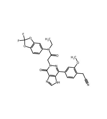 CCN(C(=O)Cn1nc(-c2ccc(CC#N)c(OC)c2)c2[nH]cnc2c1=O)c1ccc2c(c1)OC(F)(F)O2